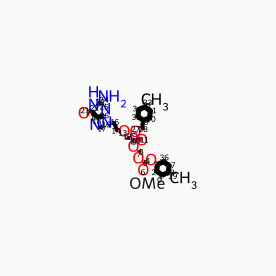 COc1cc(OC(=O)OCOP(=O)(COCCn2cnc3c(=O)[nH]c(N)nc32)OCc2ccc(C)cc2)ccc1C